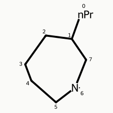 CCCC1CCCC[N]C1